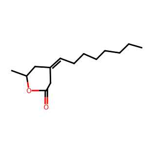 CCCCCCCC=C1CC(=O)OC(C)C1